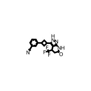 N#Cc1cccc(C2CC(c3[nH]nc4c3C(C(F)(F)F)CC(=O)N4)C2)c1